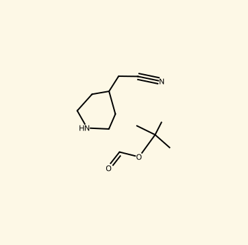 CC(C)(C)OC=O.N#CCC1CCNCC1